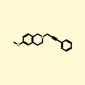 COc1ccc2c(c1)CCN(CC#Cc1ccccc1)C2